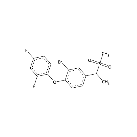 CC(c1ccc(Oc2ccc(F)cc2F)c(Br)c1)S(C)(=O)=O